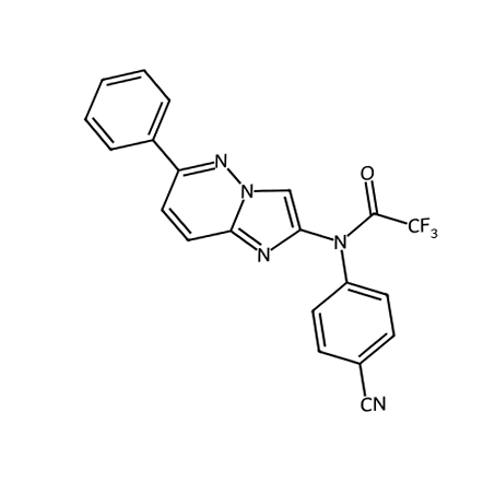 N#Cc1ccc(N(C(=O)C(F)(F)F)c2cn3nc(-c4ccccc4)ccc3n2)cc1